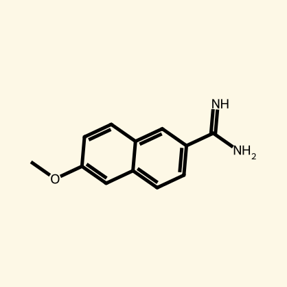 COc1ccc2cc(C(=N)N)ccc2c1